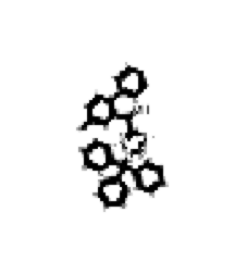 Cc1ccc(-c2ccccc2)c(C(O)c2nnn(C(c3ccccc3)(c3ccccc3)c3ccccc3)n2)c1